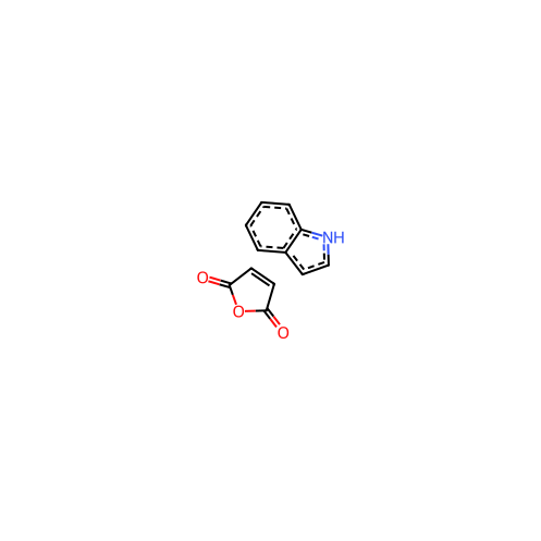 O=C1C=CC(=O)O1.c1ccc2[nH]ccc2c1